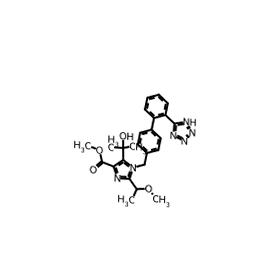 COC(=O)c1nc(C(C)OC)n(Cc2ccc(-c3ccccc3-c3nnn[nH]3)cc2)c1C(C)(C)O